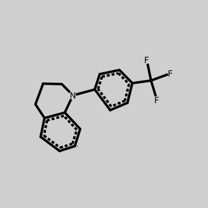 FC(F)(F)c1ccc(N2CCCc3cc[c]cc32)cc1